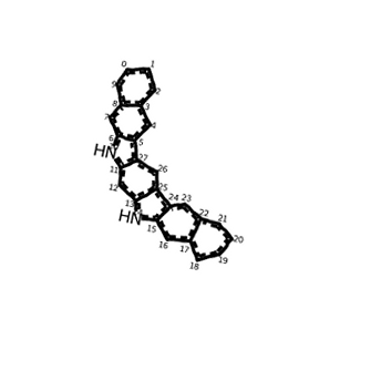 c1ccc2cc3c(cc2c1)[nH]c1cc2[nH]c4cc5ccccc5cc4c2cc13